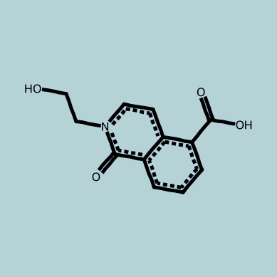 O=C(O)c1cccc2c(=O)n(CCO)ccc12